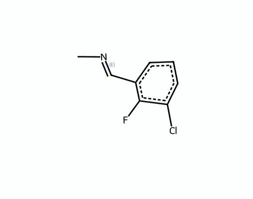 C/N=C/c1cccc(Cl)c1F